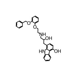 Oc1ccc(CC(O)CNCCOc2ccccc2OCc2ccccc2)c2[nH]c3ccccc3c12